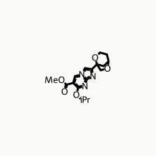 COC(=O)c1cn2cc(C34COC(CCO3)C4)nc2nc1OC(C)C